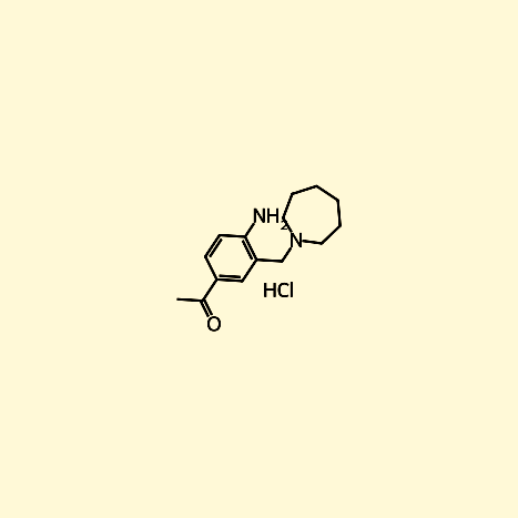 CC(=O)c1ccc(N)c(CN2CCCCCC2)c1.Cl